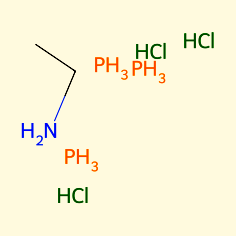 CCN.Cl.Cl.Cl.P.P.P